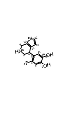 Oc1cc(F)c(C2CNCc3sccc32)cc1O